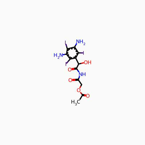 CC(=O)OCC(=O)NC(=O)C(O)c1c(I)c(N)c(I)c(N)c1I